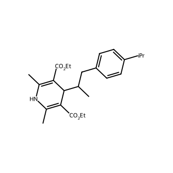 CCOC(=O)C1=C(C)NC(C)=C(C(=O)OCC)C1C(C)Cc1ccc(C(C)C)cc1